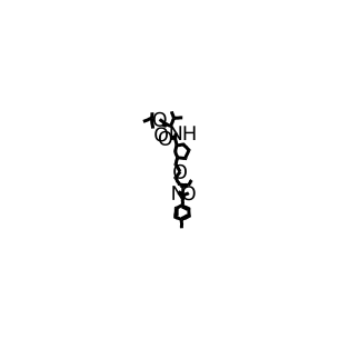 Cc1ccc(-c2nc(COCC3CCCC(C(=O)N[C@H](C(=O)OC(C)(C)C)C(C)C)C3)c(C)o2)cc1